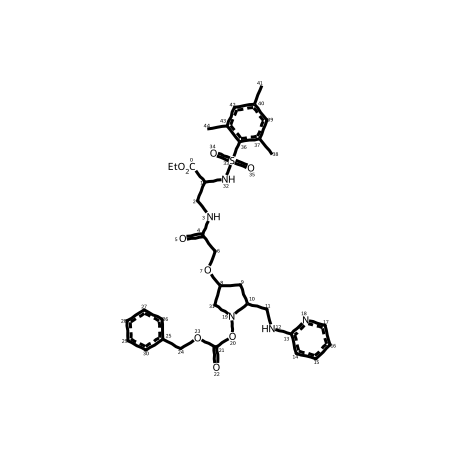 CCOC(=O)C(CNC(=O)COC1CC(CNc2ccccn2)N(OC(=O)OCc2ccccc2)C1)NS(=O)(=O)c1c(C)cc(C)cc1C